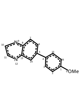 COc1ccc(-c2ccc3nccnc3c2)cc1